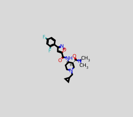 CN(C)C(=O)[C@@H]1CN(CC2CC2)CC[C@H]1NC(=O)c1cc(-c2ccc(F)cc2F)no1